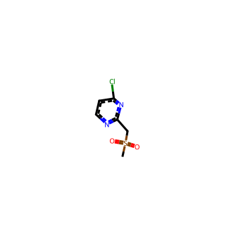 CS(=O)(=O)Cc1nccc(Cl)n1